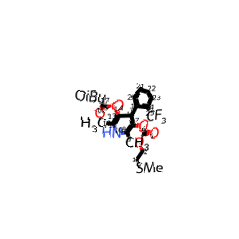 CSCCOC(=O)OC1=C(C)NC(C)=C(OC(=O)OCC(C)C)C1c1ccccc1C(F)(F)F